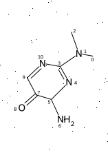 CN(C)C1=NC(N)C(=O)C=N1